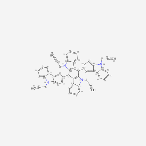 C#CCn1c2c(c3ccccc31)C(c1ccc3c(c1)c1ccccc1n3CC#C)c1c(c3ccccc3n1CC#C)C2c1ccc2c(c1)c1ccccc1n2CC#C